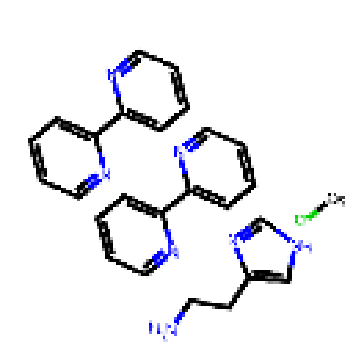 NCCc1c[nH]cn1.[Cl][Os].c1ccc(-c2ccccn2)nc1.c1ccc(-c2ccccn2)nc1